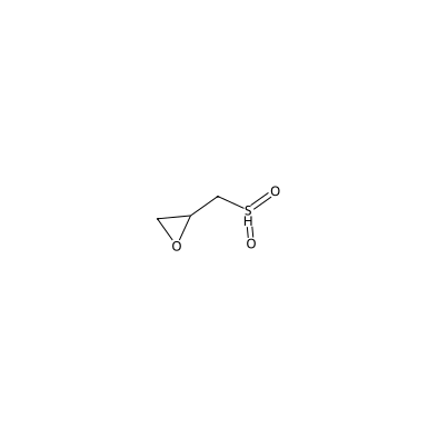 O=[SH](=O)CC1CO1